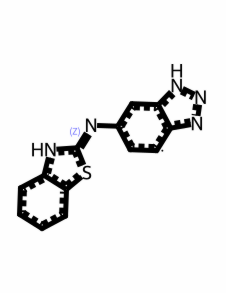 [c]1cc(/N=c2/[nH]c3ccccc3s2)cc2[nH]nnc12